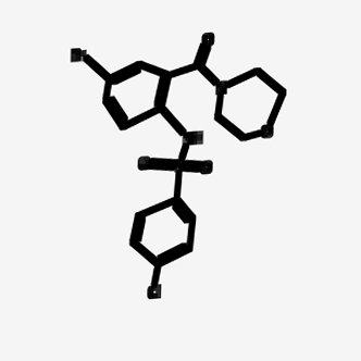 O=C(c1cc(Br)ccc1NS(=O)(=O)c1ccc(Cl)cc1)N1CCOCC1